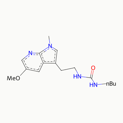 CCCCNC(=O)NCCc1cn(C)c2ncc(OC)cc12